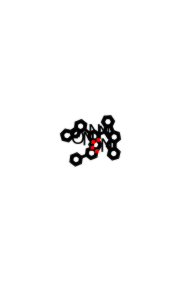 c1ccc(-c2cccc(-c3cc(-n4c5ccccc5c5ccc6c7ccccc7n(-c7ccccc7)c6c54)nc(-c4cccc5c4oc4ccccc45)n3)c2)cc1